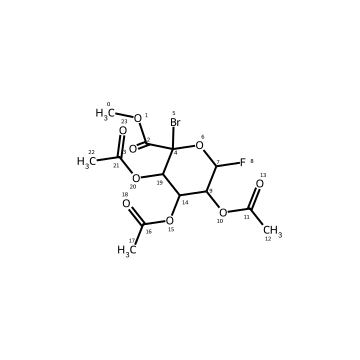 COC(=O)C1(Br)OC(F)C(OC(C)=O)C(OC(C)=O)C1OC(C)=O